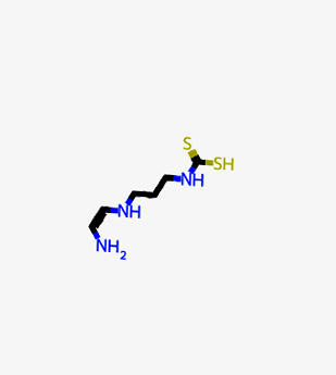 N/C=C\NCCCNC(=S)S